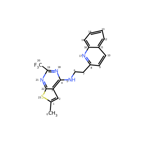 Cc1cc2c(NCCc3ccc4ccccc4n3)nc(C(F)(F)F)nc2s1